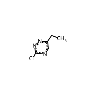 CCc1cnc(Cl)nn1